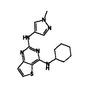 Cn1cc(Nc2nc(NC3CCCCC3)c3sccc3n2)cn1